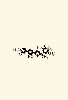 CN(c1ccc(-c2ccc(-c3ccn(C)c(=O)c3)cc2O)nn1)C1CC(C)(C)NC(C)(C)C1